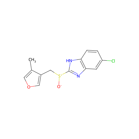 Cc1cocc1C[S+]([O-])c1nc2cc(Cl)ccc2[nH]1